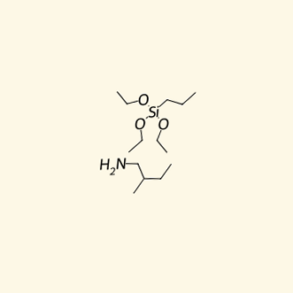 CCC(C)CN.CCC[Si](OCC)(OCC)OCC